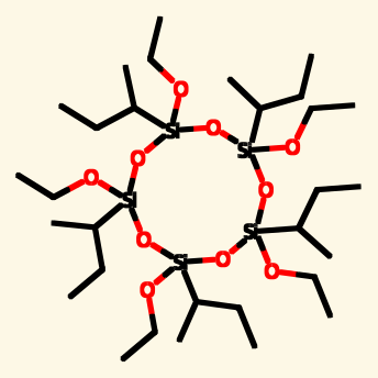 CCO[Si]1(C(C)CC)O[Si](OCC)(C(C)CC)O[Si](OCC)(C(C)CC)O[Si](OCC)(C(C)CC)O[Si](OCC)(C(C)CC)O1